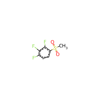 CS(=O)(=O)c1c[c]c(F)c(F)c1F